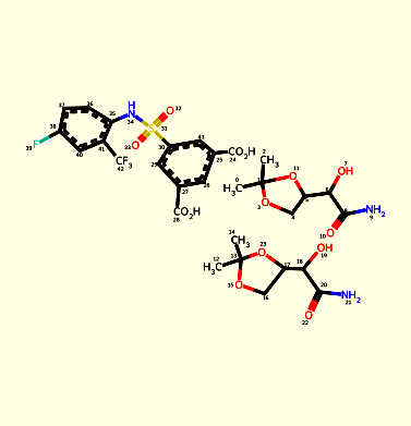 CC1(C)OCC(C(O)C(N)=O)O1.CC1(C)OCC(C(O)C(N)=O)O1.O=C(O)c1cc(C(=O)O)cc(S(=O)(=O)Nc2ccc(F)cc2C(F)(F)F)c1